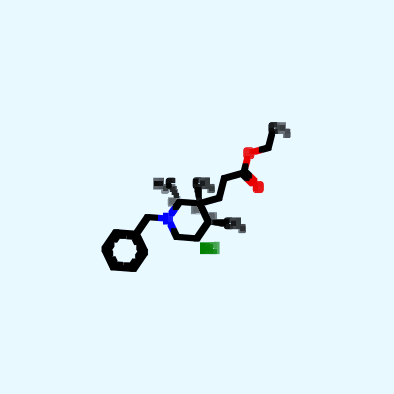 CCOC(=O)CC[C@]1(C)[C@@H](C)CCN(Cc2ccccc2)[C@@H]1C.Cl